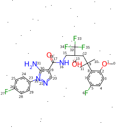 COc1ccc(F)cc1C(C)(C)C[C@@](O)(CNC(=O)c1cnn(-c2ccc(F)cc2)c1N)C(F)(F)F